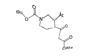 COC(=O)CC(=O)C1CCN(C(=O)OC(C)(C)C)CC1C(C)=O